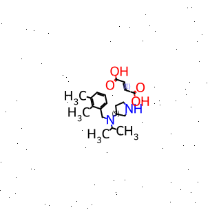 Cc1cccc(CN(C(C)C)[C@H]2CCNC2)c1C.O=C(O)/C=C/C(=O)O